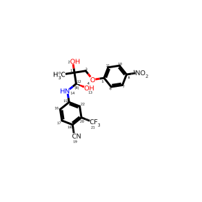 CC(O)(COc1ccc([N+](=O)[O-])cc1)[C@@H](O)Nc1ccc(C#N)c(C(F)(F)F)c1